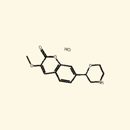 COc1cc2ccc(C3CNCCO3)cc2oc1=O.Cl